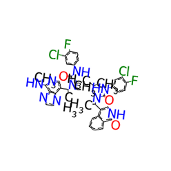 CC(C)CN(C(=O)Nc1ccc(F)c(Cl)c1)C(C)c1c[nH]c(=O)c2ccccc12.CNc1ncc(C(C)N(C)C(=O)Nc2ccc(F)c(Cl)c2)c2nccnc12